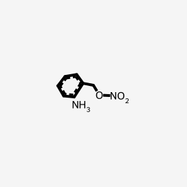 N.O=[N+]([O-])OCc1ccccc1